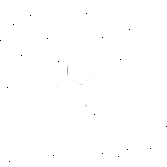 CC(C)[C@@H](C(=O)O)N(Cl)Cl